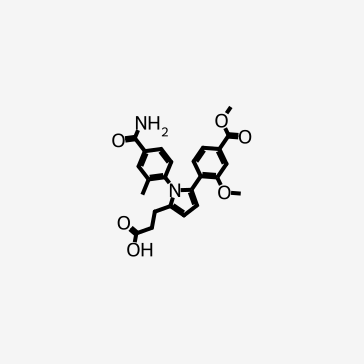 COC(=O)c1ccc(-c2ccc(CCC(=O)O)n2-c2ccc(C(N)=O)cc2C)c(OC)c1